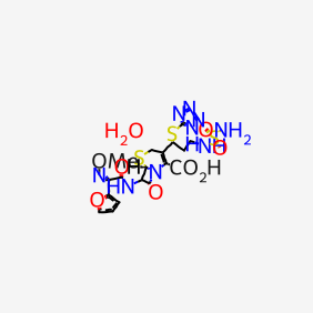 CO/N=C(\C(=O)NC1C(=O)N2C(C(=O)O)=C(C(CCNS(N)(=O)=O)Sc3nnn[nH]3)CS[C@@H]12)c1ccco1.O